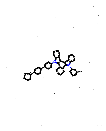 Cc1cccc(-n2c3ccccc3c3c4c5ccccc5n(-c5ccc(-c6ccc(-c7ccccc7)cc6)cc5)c4c4ccccc4c32)c1